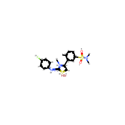 Br.Cc1ccc(S(=O)(=O)N(C)C)cc1-c1cs/c(=N/c2ccc(F)cc2)n1C